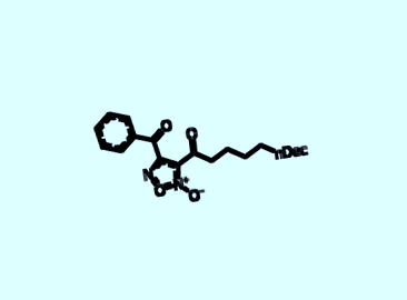 CCCCCCCCCCCCCCC(=O)c1c(C(=O)c2ccccc2)no[n+]1[O-]